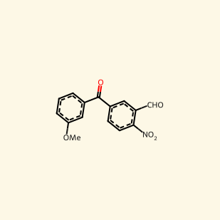 COc1cccc(C(=O)c2ccc([N+](=O)[O-])c(C=O)c2)c1